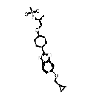 CC(COC1CCC(c2nc3ccc(OCC4CC4)cc3o2)CC1)OS(C)(=O)=O